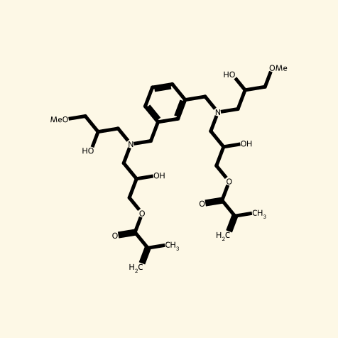 C=C(C)C(=O)OCC(O)CN(Cc1cccc(CN(CC(O)COC)CC(O)COC(=O)C(=C)C)c1)CC(O)COC